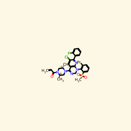 C=CC(=O)N1C[C@H](C)N(C2=NCN(c3c(C(C)C)cccc3S(C)(=O)=O)c3nc(-c4ccccc4F)c(Cl)cc32)C[C@H]1C